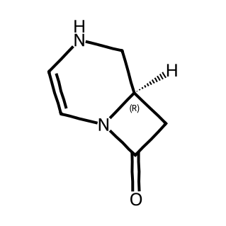 O=C1C[C@@H]2CNC=CN12